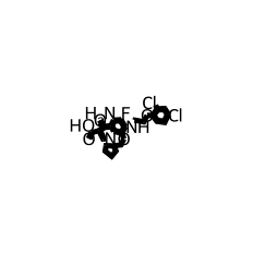 Nc1c(F)c(NCCOc2ccc(Cl)cc2Cl)c2c3c1c(=O)c(C(=O)O)cn3C1(CCCC1)CO2